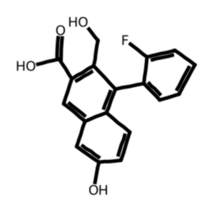 O=C(O)c1cc2cc(O)ccc2c(-c2ccccc2F)c1CO